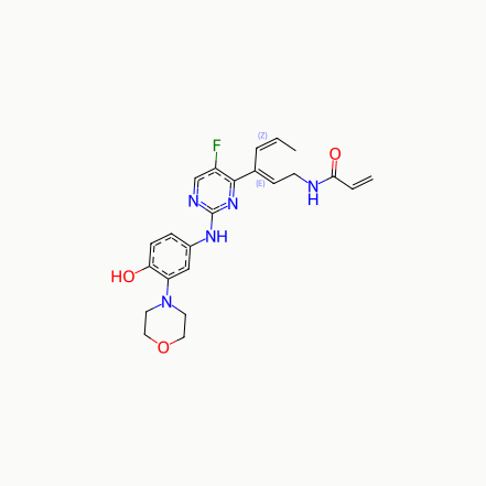 C=CC(=O)NC/C=C(\C=C/C)c1nc(Nc2ccc(O)c(N3CCOCC3)c2)ncc1F